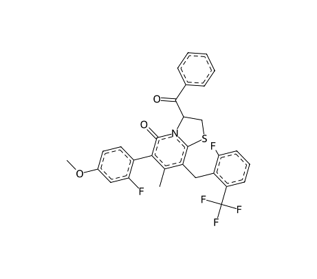 COc1ccc(-c2c(C)c(Cc3c(F)cccc3C(F)(F)F)c3n(c2=O)C(C(=O)c2ccccc2)CS3)c(F)c1